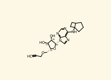 C#CCOC[C@H]1O[C@@H](n2cnc3c(NC45CCCC4CC5)ncnc32)[C@H](O)[C@@H]1O